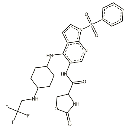 O=C1NC(C(=O)Nc2cnc3c(ccn3S(=O)(=O)c3ccccc3)c2NC2CCC(NCC(F)(F)F)CC2)CO1